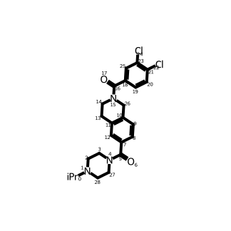 CC(C)N1CCN(C(=O)c2ccc3c(c2)CCN(C(=O)c2ccc(Cl)c(Cl)c2)C3)CC1